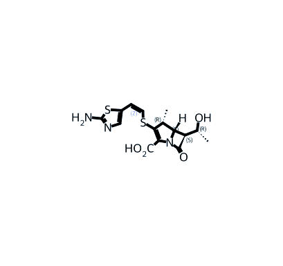 C[C@@H](O)[C@H]1C(=O)N2C(C(=O)O)=C(S/C=C\c3cnc(N)s3)[C@H](C)[C@H]12